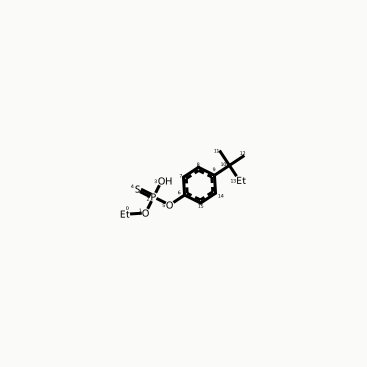 CCOP(O)(=S)Oc1ccc(C(C)(C)CC)cc1